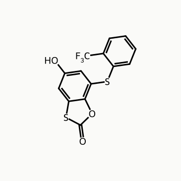 O=c1oc2c(Sc3ccccc3C(F)(F)F)cc(O)cc2s1